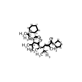 C/C(=C\[C@H](C(C)C)N(C)C(=O)[C@@H](NC(=O)[C@H]1CCCCN1C(C)C)C(C)C)C(=O)N1CCSC1